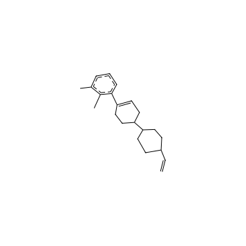 C=CC1CCC(C2CC=C(c3cccc(C)c3C)CC2)CC1